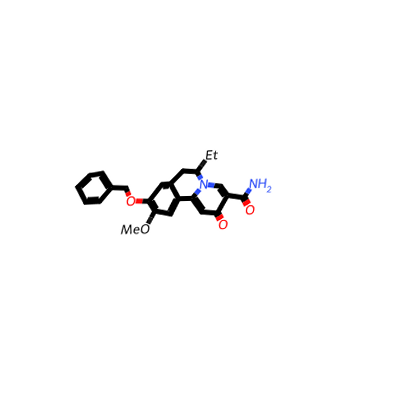 CCC1Cc2cc(OCc3ccccc3)c(OC)cc2-c2cc(=O)c(C(N)=O)cn21